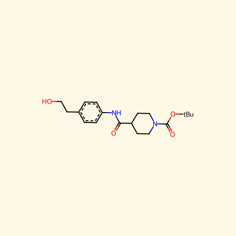 CC(C)(C)OC(=O)N1CCC(C(=O)Nc2ccc(CCO)cc2)CC1